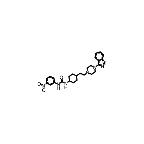 O=C(Nc1cccc([N+](=O)[O-])c1)NC1CCC(CCN2CCN(c3nsc4ccccc34)CC2)CC1